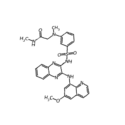 CNC(=O)CN(C)c1cccc(S(=O)(=O)Nc2nc3ccccc3nc2Nc2cc(OC)cc3cccnc23)c1